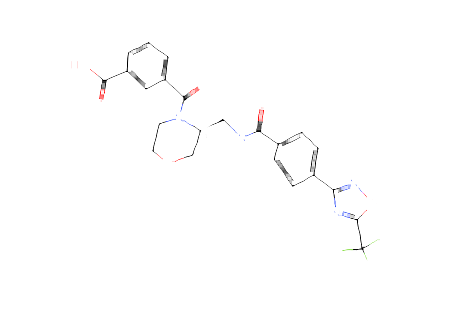 O=C(O)c1cccc(C(=O)N2CCOC[C@@H]2CNC(=O)c2ccc(-c3noc(C(F)(F)F)n3)cc2)c1